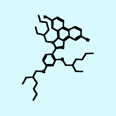 CCCCC(CC)COc1ccc(-c2nc3c4cc(Br)ccc4c4ccc(Br)cc4c3n2CC(CC)CCCC)c(OCC(CC)CCCC)c1